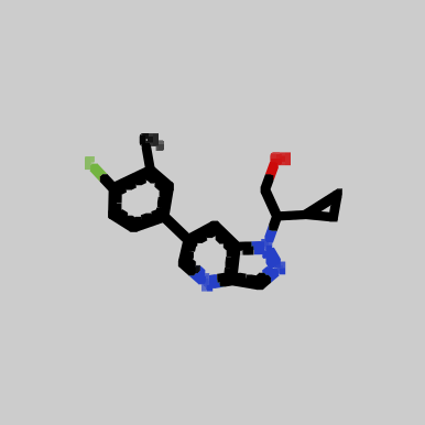 Cc1cc(-c2cnc3cnn(C(CO)C4CC4)c3c2)ccc1F